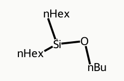 CCCCCC[Si](CCCCCC)OCCCC